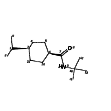 CC(C)[C@H]1CC[C@@H](C(=O)NC(C)(C)C)CC1